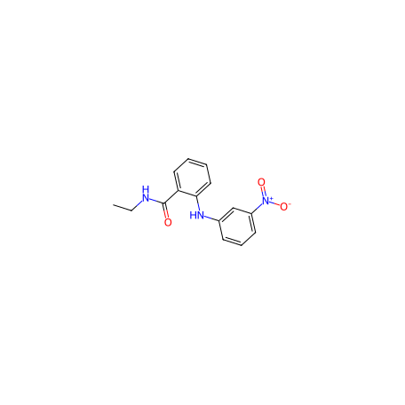 CCNC(=O)c1ccccc1Nc1cccc([N+](=O)[O-])c1